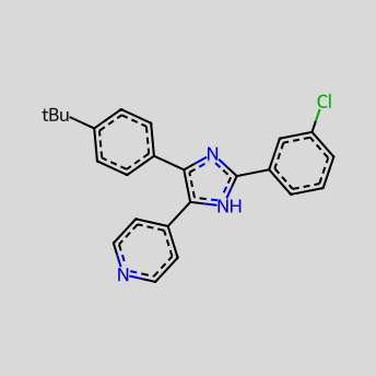 CC(C)(C)c1ccc(-c2nc(-c3cccc(Cl)c3)[nH]c2-c2ccncc2)cc1